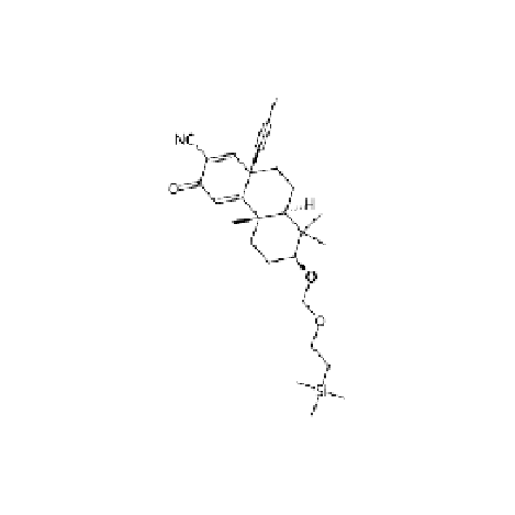 CC#C[C@]12C=C(C#N)C(=O)C=C1[C@@]1(C)CC[C@H](OCOCC[Si](C)(C)C)C(C)(C)[C@@H]1CC2